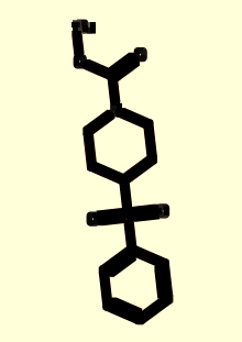 CC(C)(C)OC(=O)N1CCC(S(=O)(=O)c2ccccc2)CC1